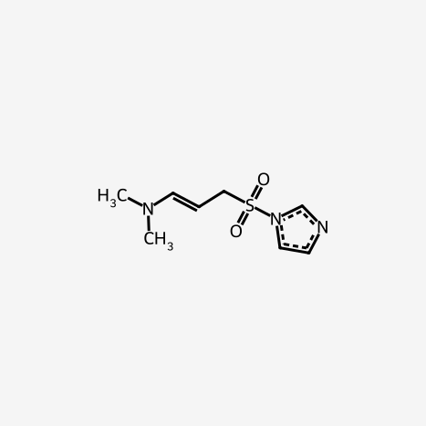 CN(C)C=CCS(=O)(=O)n1ccnc1